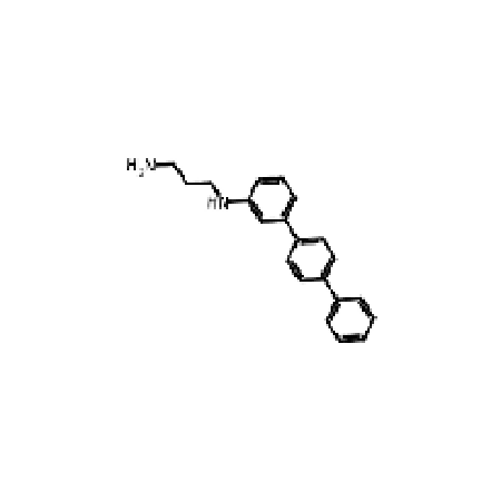 NCCCNc1cccc(-c2ccc(-c3ccccc3)cc2)c1